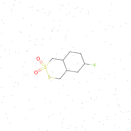 O=S1(=O)CC2CCC(F)CC2CS1